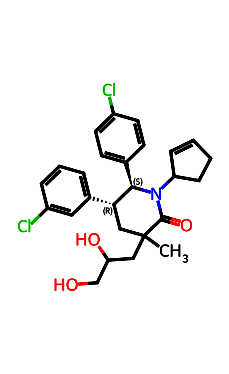 CC1(CC(O)CO)C[C@H](c2cccc(Cl)c2)[C@@H](c2ccc(Cl)cc2)N(C2C=CCC2)C1=O